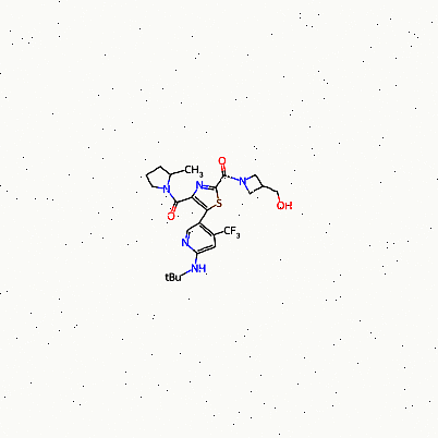 CC1CCCN1C(=O)c1nc(C(=O)N2CC(CO)C2)sc1-c1cnc(NC(C)(C)C)cc1C(F)(F)F